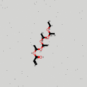 C=CC(=O)OC(C)OC(C)OC(C)OC(C)OCC